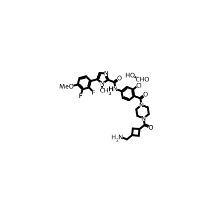 COc1ccc(-c2cnc(C(=O)Nc3ccc(C(=O)N4CCN(C(=O)C5CC(CN)C5)CC4)c(Cl)c3)n2C)c(F)c1F.O=CO